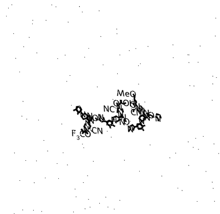 C=C(CO)C(=O)N1CCN(c2nc(OC[C@@H]3CC(c4cc(C)c(C)c(N5CCc6c(nc(OC[C@@H]7CCCN7C)nc6N6CCN(C(=O)/C=C/COC)[C@@H](CC#N)C6)C5)c4)CN3C)nc3c2CCN(c2cc(C4C[C@@H](COc5nc6c(c(N7CCN(C(=O)C(=C)C(F)(F)F)[C@@H](CC#N)C7)n5)CCN(c5cccc(C)c5C)C6)N(C)C4)cc(C)c2C)C3)C[C@@H]1CC#N